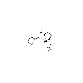 NC(=O)[C@@H]1CC[C@@H]2C[N+]1(OCC1CCCCN1)C(=O)N2OS(=O)(=O)O